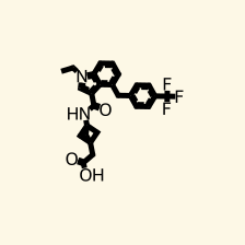 CCn1cc(C(=O)NC23CC(CC(=O)O)(C2)C3)c2c(Cc3ccc(C(F)(F)F)cc3)cccc21